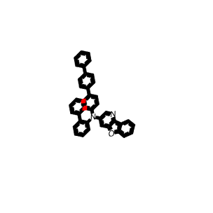 c1ccc(-c2ccc(-c3ccc(N(c4cnc5c(c4)oc4ccccc45)c4ccccc4-c4ccccc4)cc3)cc2)cc1